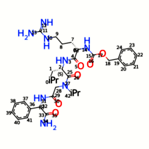 CC(C)C[C@H](NC(=O)[C@H](CCCNC(=N)N)NC(=O)OCc1ccccc1)C(=O)N(CC(=O)N[C@H](C(N)=O)c1ccccc1)C(C)C